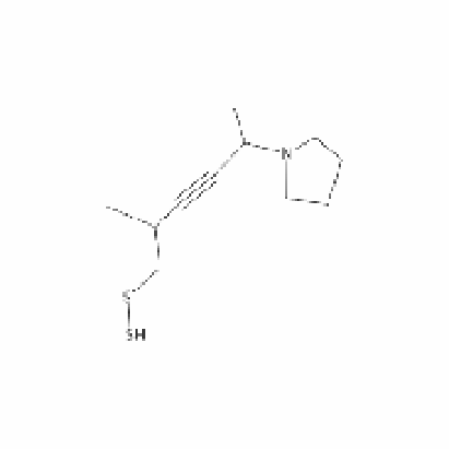 CC(C#CC(C)N1CCCC1)CSS